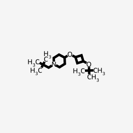 CC(C)(C)CN1CCC(OC2CC(OC(C)(C)C)C2)CC1